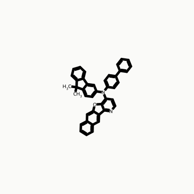 CC1(C)c2ccccc2-c2cc(N(c3ccc(-c4ccccc4)cc3)c3ccnc4c3oc3cc5ccccc5cc34)ccc21